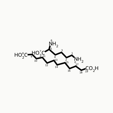 NCCCCC(N)C(=O)O.O=C(O)CCCCCCCCCCC(=O)O